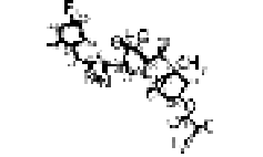 CC(Cl)C(=O)OC1CCC2(CC1)N(C)C(=O)c1c(O)c(=O)c(-c3nnc(Cc4ccc(F)cc4F)s3)cn1N2C